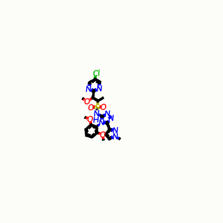 COc1cccc(OC)c1-n1c(NS(=O)(=O)C(C)C(OC)c2ncc(Cl)cn2)nnc1-c1ccn(C)n1